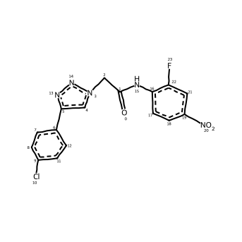 O=C(Cn1cc(-c2ccc(Cl)cc2)nn1)Nc1ccc([N+](=O)[O-])cc1F